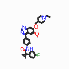 CCN1CCC(COc2cc3ncnc(-c4ccc(NC(=O)C5(c6ccc(F)cc6)CC5)cc4)c3cc2OC)CC1